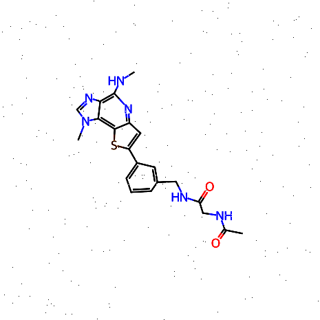 CNc1nc2cc(-c3cccc(CNC(=O)CNC(C)=O)c3)sc2c2c1ncn2C